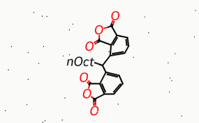 CCCCCCCCC(c1cccc2c1C(=O)OC2=O)c1cccc2c1C(=O)OC2=O